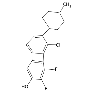 CC1CCC(c2ccc3c(c2Cl)-c2c-3cc(O)c(F)c2F)CC1